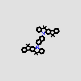 CC1(C)c2ccccc2-c2cc3c(cc21)N(c1ccc2cc(N4c5ccccc5C(C)(C)c5cc6c(cc54)C(C)(C)c4ccccc4-6)ccc2c1)c1ccccc1C3(C)C